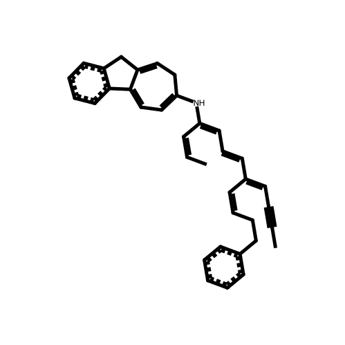 CC#C/C=C(\C=C/CCc1ccccc1)/C=C/C=C(\C=C/C)NC1=CC=C2C(=CC1)Cc1ccccc12